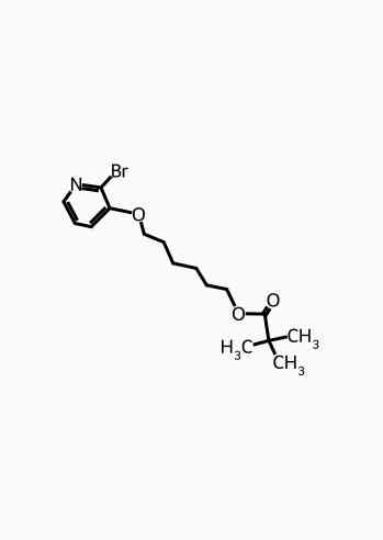 CC(C)(C)C(=O)OCCCCCCOc1cccnc1Br